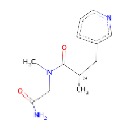 C[C@@H](Cc1cccnc1)C(=O)N(C)CC(N)=O